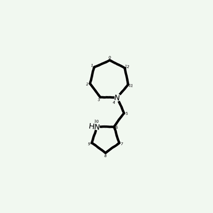 C1CCCN(CC2CCCN2)CC1